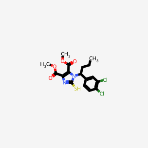 CCCC(c1ccc(Cl)c(Cl)c1)n1c(S)nc(C(=O)OC)c1C(=O)OC